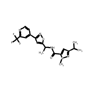 CC(C)c1cc(C(=O)NC(C)c2cc(-c3ccnc(C(F)(F)F)c3)no2)n(C)n1